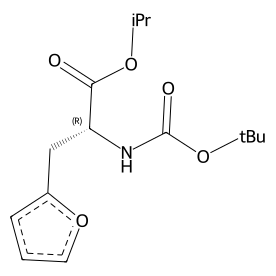 CC(C)OC(=O)[C@@H](Cc1ccco1)NC(=O)OC(C)(C)C